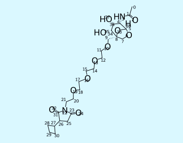 CC(=O)N[C@@H]1[C@H]2OC[C@](COCCOCCOCCOCCN3C(=O)CC(C4CCC4)C3=O)(O2)[C@H](O)[C@@H]1O